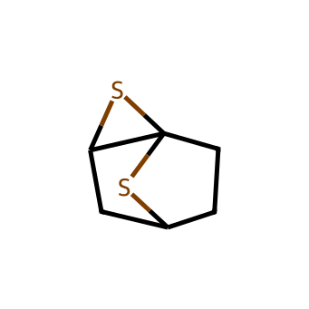 C1CC23SC1CC2S3